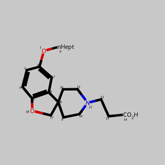 CCCCCCCOc1ccc2c(c1)C1(CCN(CCC(=O)O)CC1)CO2